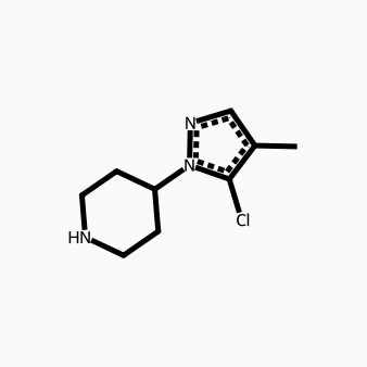 Cc1cnn(C2CCNCC2)c1Cl